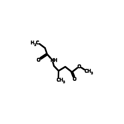 CCC(=O)NCC(C)CC(=O)OC